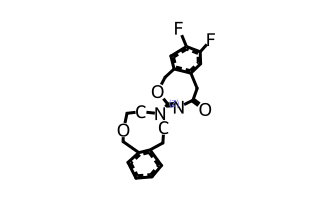 O=C1Cc2cc(F)c(F)cc2CO/C(N2CCOCc3ccccc3CC2)=N\1